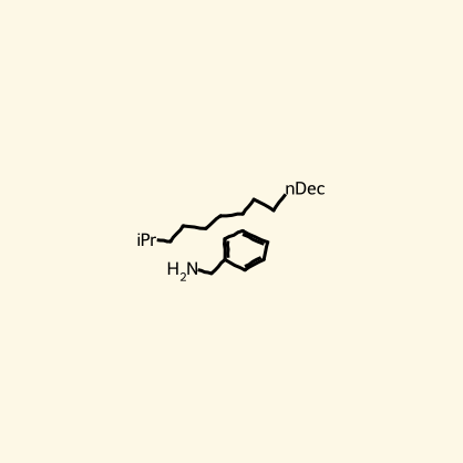 CCCCCCCCCCCCCCCCCC(C)C.NCc1ccccc1